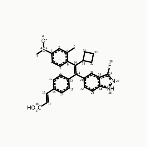 Cc1cc([S+](C)[O-])ccc1C(=C(c1ccc(C=CC(=O)O)cc1)c1ccc2[nH]nc(F)c2c1)C1CCC1